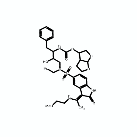 COCCNC(C)=C1C(=O)Nc2ccc(S(=O)(=O)N(CC(C)C)CC(O)C(Cc3ccccc3)NC(=O)OC3COC4OCCC34)cc21